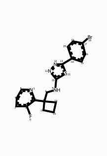 Fc1cccnc1C1(CNc2nnc(-c3ccc(Br)cc3)s2)CCC1